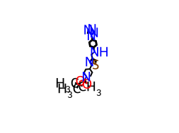 CC(C)(C)OC(=O)N1CCC(c2nc(CNc3ccc(-n4cnnn4)cc3)cs2)CC1